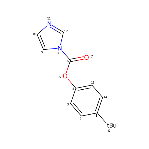 CC(C)(C)c1ccc(OC(=O)n2ccnc2)cc1